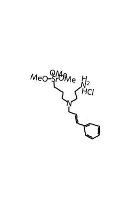 CO[Si](CCCN(CC=Cc1ccccc1)CCN)(OC)OC.Cl